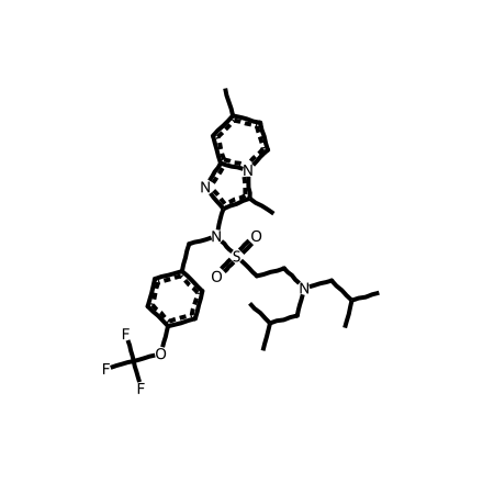 Cc1ccn2c(C)c(N(Cc3ccc(OC(F)(F)F)cc3)S(=O)(=O)CCN(CC(C)C)CC(C)C)nc2c1